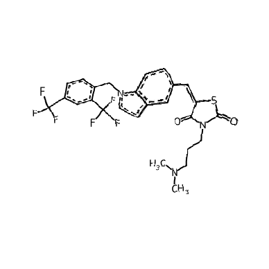 CN(C)CCCN1C(=O)SC(=Cc2ccc3c(ccn3Cc3ccc(C(F)(F)F)cc3C(F)(F)F)c2)C1=O